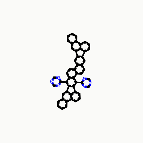 c1ccc2c(c1)cc1c3c(cccc32)-c2cc3ccc4c(ccc5c(-c6ncncn6)c6c(c(-c7ncncn7)c54)-c4cccc5c4c-6cc4ccccc45)c3cc2-1